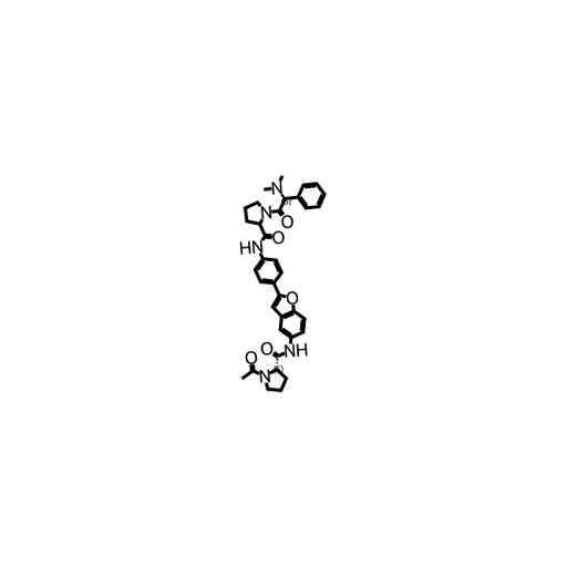 CC(=O)N1CCC[C@H]1C(=O)Nc1ccc2oc(-c3ccc(NC(=O)C4CCCN4C(=O)[C@H](c4ccccc4)N(C)C)cc3)cc2c1